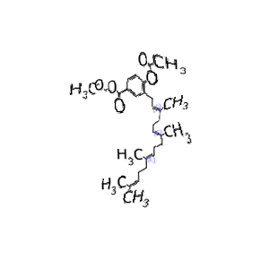 COCOC(=O)c1ccc(OC(C)=O)c(C/C=C(\C)CC/C=C(\C)CC/C=C(\C)CCC=C(C)C)c1